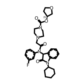 O=C(O[C@H]1CCOC1)N1CCN(CC(=O)N(c2cccc(F)c2)C2C(=O)N(C3CCCCC3)c3ccccc32)CC1